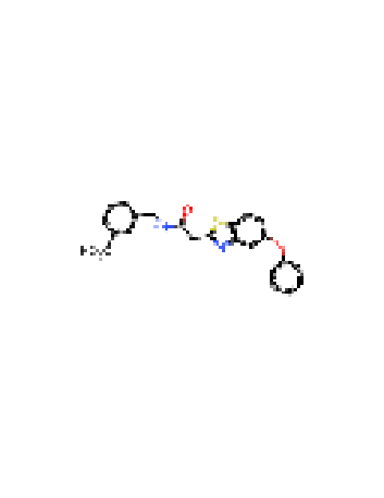 O=C(Cc1nc2cc(Oc3ccccc3)ccc2s1)NCc1cccc(C(=O)O)c1